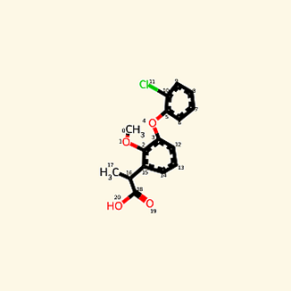 COc1c(Oc2ccccc2Cl)cccc1C(C)C(=O)O